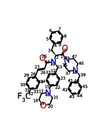 O=C([C@H](Cc1ccccc1)N(Cc1ccc(N2CCOCC2)cc1)C(=O)/C=C/c1ccc(C(F)(F)F)cc1)N1CCN(Cc2ccccc2)CC1